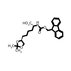 CC1(C)OC[C@H](CCCC[C@@H](NC(=O)OCC2c3ccccc3-c3ccccc32)C(=O)O)O1